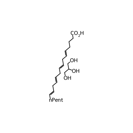 CCCCCC=CCC=CCC=CCC=CCCCC(=O)O.OCC(O)CO